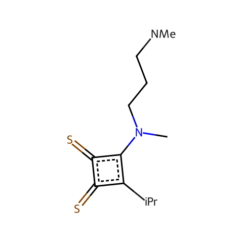 CNCCCN(C)c1c(C(C)C)c(=S)c1=S